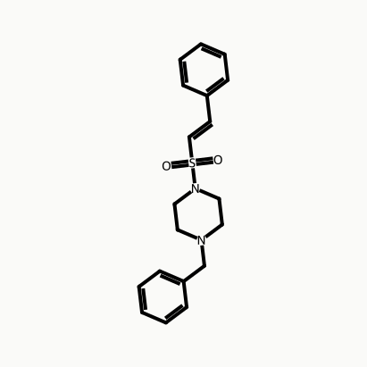 O=S(=O)(/C=C/c1ccccc1)N1CCN(Cc2ccccc2)CC1